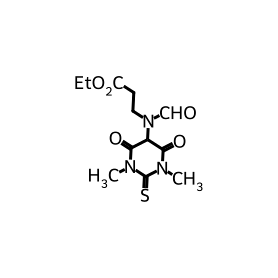 CCOC(=O)CCN(C=O)C1C(=O)N(C)C(=S)N(C)C1=O